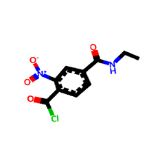 CCNC(=O)c1ccc(C(=O)Cl)c([N+](=O)[O-])c1